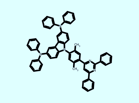 Cc1cc(-n2c3ccc(N(c4ccccc4)c4ccccc4)cc3c3cc(N(c4ccccc4)c4ccccc4)ccc32)c(C)cc1-c1cc(-c2ccccc2)nc(-c2ccccc2)n1